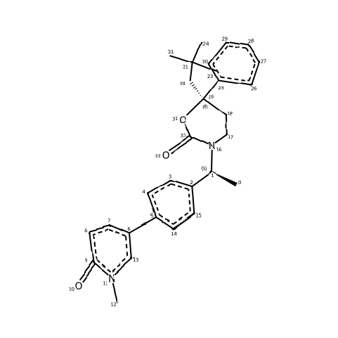 C[C@@H](c1ccc(-c2ccc(=O)n(C)c2)cc1)N1CC[C@](CC(C)(C)C)(c2ccccc2)OC1=O